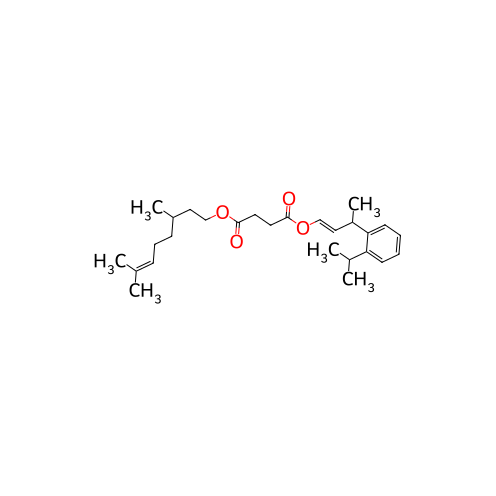 CC(C)=CCCC(C)CCOC(=O)CCC(=O)O/C=C/C(C)c1ccccc1C(C)C